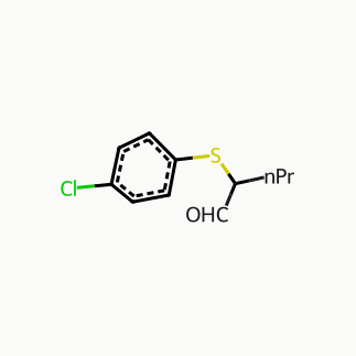 CCCC(C=O)Sc1ccc(Cl)cc1